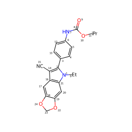 CCn1c(-c2ccc(NC(=O)OC(C)C)cc2)c(C#N)c2cc3c(cc21)OCO3